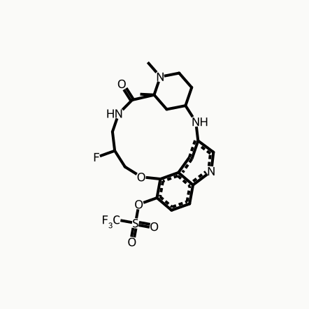 CN1CCC2CC1(C)C(=O)NCC(F)COc1c(OS(=O)(=O)C(F)(F)F)ccc3ncc(cc13)N2